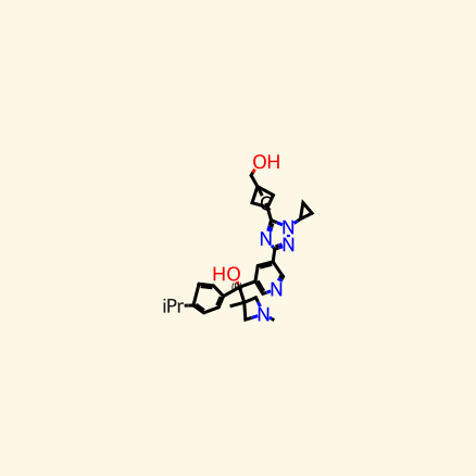 CC(C)c1ccc([C@](O)(c2cncc(-c3nc(C45CC(CO)(C4)C5)n(C4CC4)n3)c2)C2(C)CN(C)C2)cc1